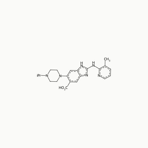 Cc1cccnc1Nc1nc2cc(C(=O)O)c(N3CCN(C(C)C)CC3)cc2[nH]1